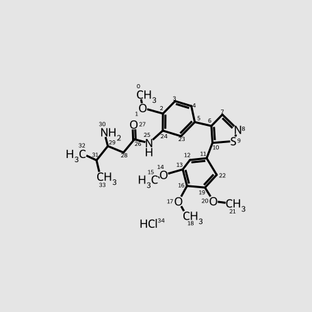 COc1ccc(-c2cnsc2-c2cc(OC)c(OC)c(OC)c2)cc1NC(=O)CC(N)C(C)C.Cl